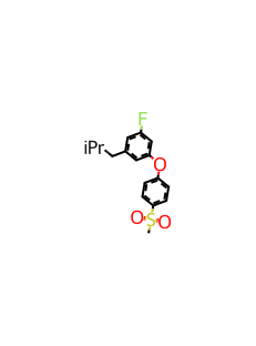 CC(C)Cc1cc(F)cc(Oc2ccc(S(C)(=O)=O)cc2)c1